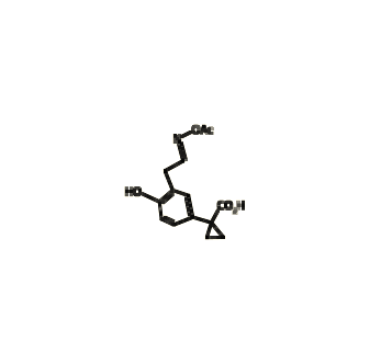 CC(=O)ON=CCc1cc(C2(C(=O)O)CC2)ccc1O